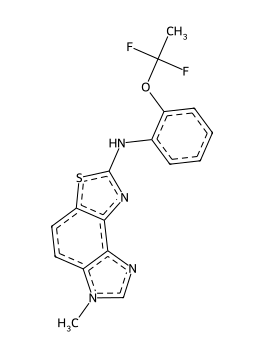 Cn1cnc2c3nc(Nc4ccccc4OC(C)(F)F)sc3ccc21